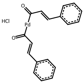 Cl.O=[C](C=Cc1ccccc1)[Pd][C](=O)C=Cc1ccccc1